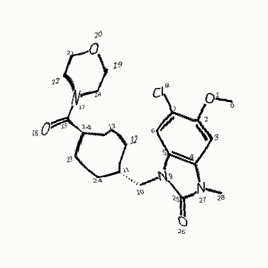 COc1cc2c(cc1Cl)n(C[C@H]1CC[C@H](C(=O)N3CCOCC3)CC1)c(=O)n2C